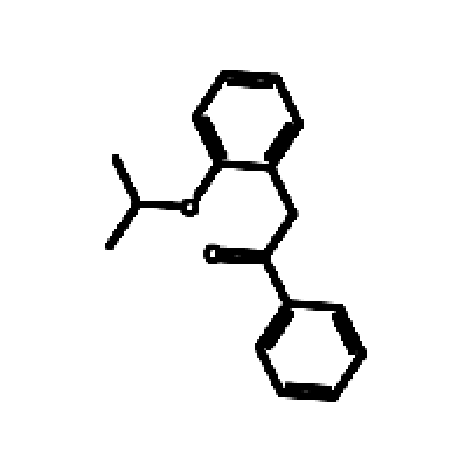 CC(C)Oc1ccccc1CC(=O)c1ccccc1